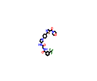 O=C(CNC(=O)c1cccc(C(F)(F)F)c1)NC1CCN(C2CCC(c3ncc(C(=O)N4CCOCC4)s3)CC2)C1